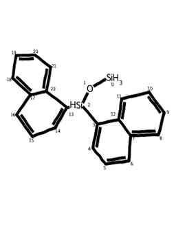 [SiH3]O[SiH](c1cccc2ccccc12)c1cccc2ccccc12